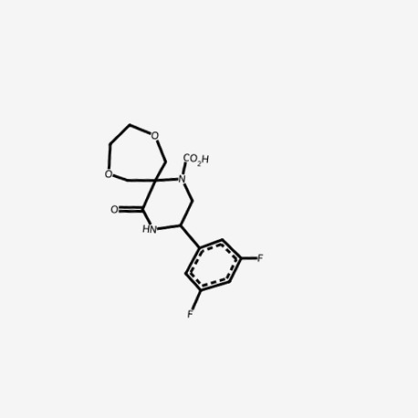 O=C(O)N1CC(c2cc(F)cc(F)c2)NC(=O)C12COCCOC2